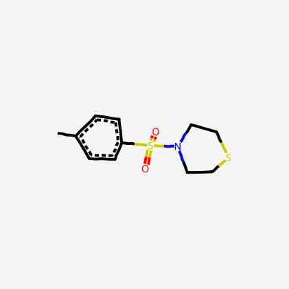 Cc1ccc(S(=O)(=O)N2CCSCC2)cc1